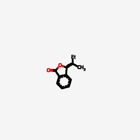 CCC(C)=C1OC(=O)c2ccccc21